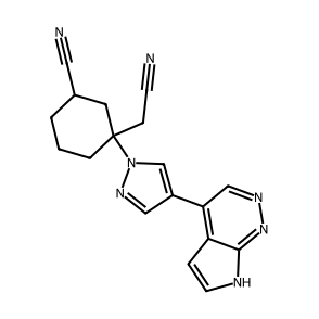 N#CCC1(n2cc(-c3cnnc4[nH]ccc34)cn2)CCCC(C#N)C1